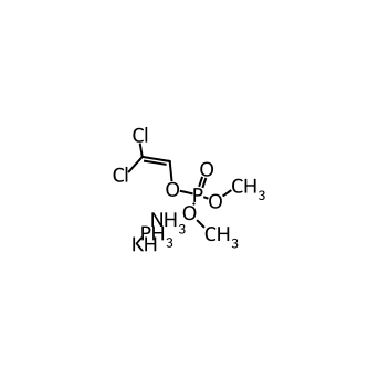 COP(=O)(OC)OC=C(Cl)Cl.N.P.[KH]